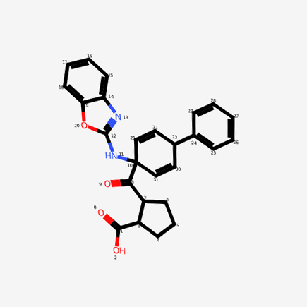 O=C(O)C1CCCC1C(=O)C1(Nc2nc3ccccc3o2)C=CC(c2ccccc2)C=C1